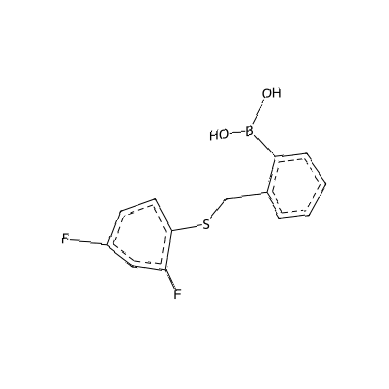 OB(O)c1ccccc1CSc1ccc(F)cc1F